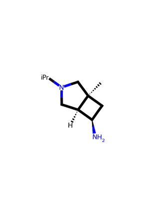 CC(C)N1C[C@@H]2[C@H](N)C[C@]2(C)C1